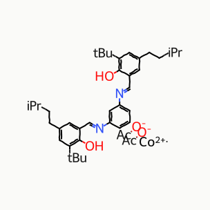 CC(=O)[O-].CC(=O)[O-].CC(C)CCc1cc(C=Nc2cccc(N=Cc3cc(CCC(C)C)cc(C(C)(C)C)c3O)c2)c(O)c(C(C)(C)C)c1.[Co+2]